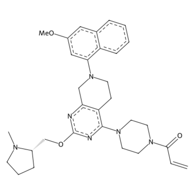 C=CC(=O)N1CCN(c2nc(OC[C@@H]3CCCN3C)nc3c2CCN(c2cc(OC)cc4ccccc24)C3)CC1